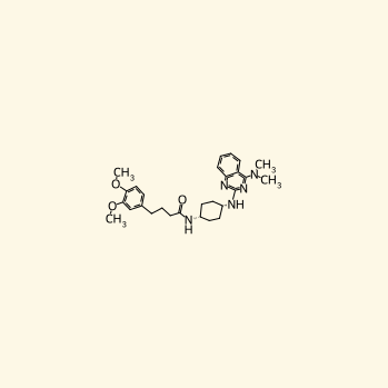 COc1ccc(CCCC(=O)N[C@H]2CC[C@@H](Nc3nc(N(C)C)c4ccccc4n3)CC2)cc1OC